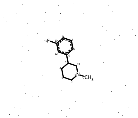 CN1CCCC(c2cccc(F)c2)C1